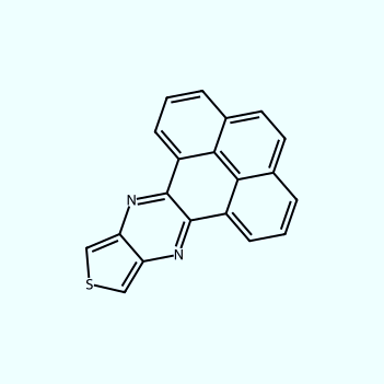 c1cc2ccc3cccc4c5nc6cscc6nc5c(c1)c2c34